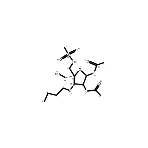 CCCCO[C@@H]1C(OC(C)=O)C(OC(C)=O)O[C@]1(CO)COS(C)(=O)=O